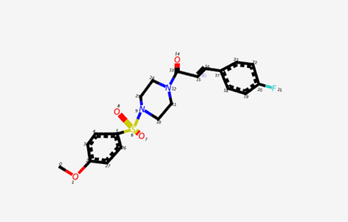 COc1ccc(S(=O)(=O)N2CCN(C(=O)/C=C/c3ccc(F)cc3)CC2)cc1